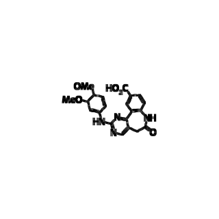 COC1C=CC(Nc2ncc3c(n2)-c2cc(C(=O)O)ccc2NC(=O)C3)=CC1OC